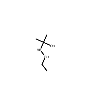 CCBBC(C)(C)O